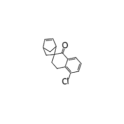 O=C1c2cccc(Cl)c2CCC12CC1C=CC2C1